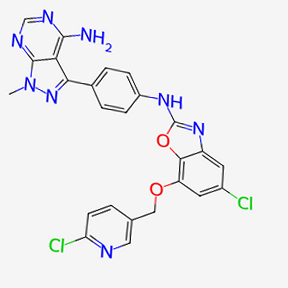 Cn1nc(-c2ccc(Nc3nc4cc(Cl)cc(OCc5ccc(Cl)nc5)c4o3)cc2)c2c(N)ncnc21